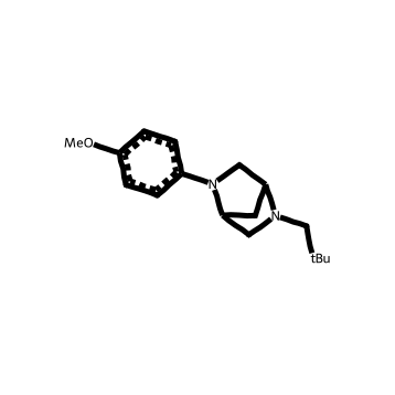 COc1ccc(N2CC3CC2CN3CC(C)(C)C)cc1